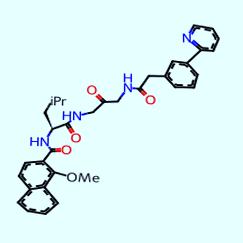 COc1c(C(=O)N[C@@H](CC(C)C)C(=O)NCC(=O)CNC(=O)Cc2cccc(-c3ccccn3)c2)ccc2ccccc12